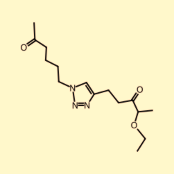 CCOC(C)C(=O)CCc1cn(CCCCC(C)=O)nn1